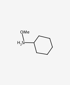 CO[SiH2]C1CCCCC1